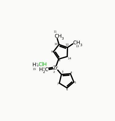 Cl.[CH2]=[Zr]([C]1=CC=CC1)[C]1=CC(C)=C(C)C1.[H-]